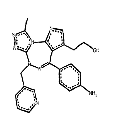 Cc1nnc2n1-c1scc(CCO)c1C(c1ccc(N)cc1)=NN2Cc1cccnc1